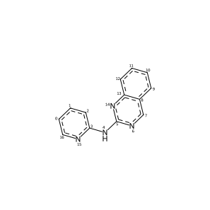 c1ccc(Nc2ncc3ccccc3n2)nc1